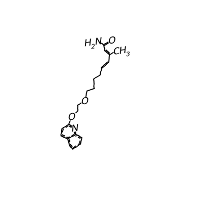 CC(C=CCCCCOCCOc1ccc2ccccc2n1)=CC(N)=O